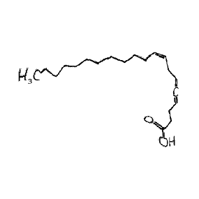 CCCCCCCCCCC/C=C\CC=C=CCCC(=O)O